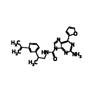 C=C(C)c1cccc(C(C)CNC(=O)n2cnc3c(-c4ccco4)nc(N)nc32)c1